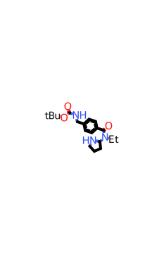 CCN(C(=O)c1ccc(CNC(=O)OC(C)(C)C)cc1)C1CCCN1